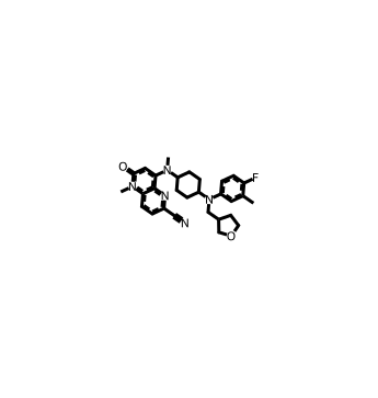 Cc1cc(N(CC2CCOC2)C2CCC(N(C)c3cc(=O)n(C)c4ccc(C#N)nc34)CC2)ccc1F